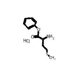 CSCCC(N)C(=O)Oc1ccccc1.Cl